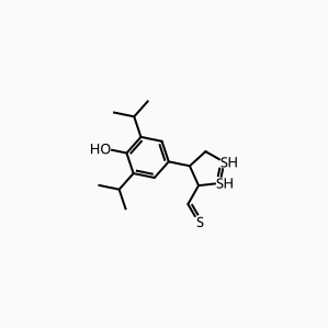 CC(C)c1cc(C2C[SH]=[SH]C2C=S)cc(C(C)C)c1O